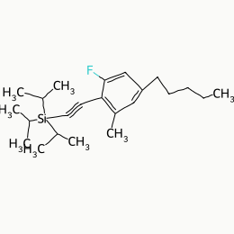 CCCCCc1cc(C)c(C#C[Si](C(C)C)(C(C)C)C(C)C)c(F)c1